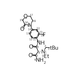 CCN(CC(C)(C)C)[C@H](C(N)=O)C(=O)Nc1ccc(N2CCOCC2=O)cc1F